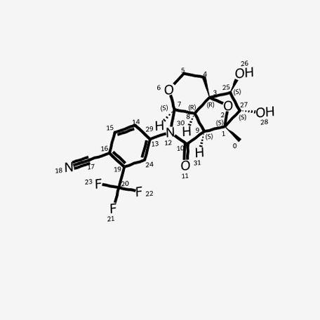 C[C@]12O[C@@]3(CCO[C@H]4[C@@H]3[C@@H]1C(=O)N4c1ccc(C#N)c(C(F)(F)F)c1)[C@@H](O)[C@@H]2O